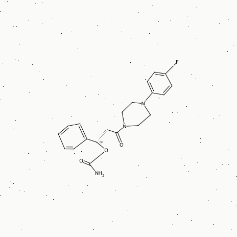 NC(=O)O[C@@H](CC(=O)N1CCN(c2ccc(F)cc2)CC1)c1ccccc1